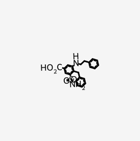 NS(=O)(=O)c1cc(C(=O)O)cc(NCCc2ccccc2)c1Cc1ccccc1